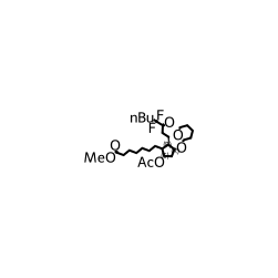 CCCCC(F)(F)C(=O)CC[C@@H]1C(CCCCCCC(=O)OC)[C@@H](OC(C)=O)C[C@H]1OC1CCCCO1